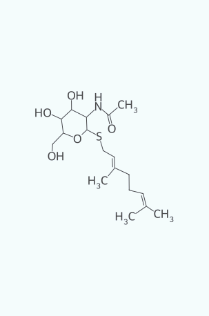 CC(=O)NC1C(SC/C=C(\C)CCC=C(C)C)OC(CO)C(O)C1O